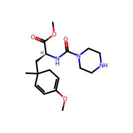 COC(=O)[C@H](CC1(C)C=CC(OC)=CC1)NC(=O)N1CCNCC1